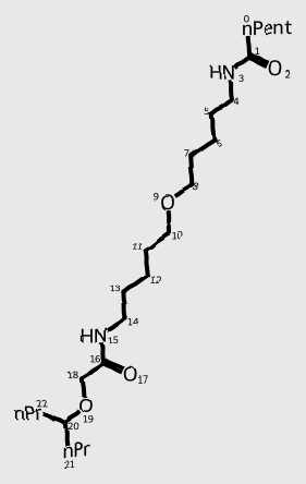 CCCCCC(=O)NCCCCCOCCCCCNC(=O)COC(CCC)CCC